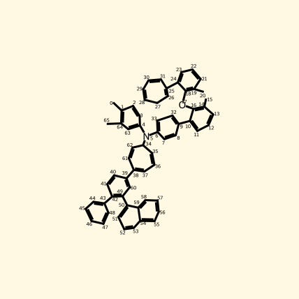 Cc1ccc(N(c2ccc(-c3cccc(C)c3Oc3c(C)cccc3C3=CCC=CC=C3)cc2)C2C=CC=C(c3ccc(-c4ccccc4)c(-c4cccc5ccccc45)c3)C=C2)cc1C